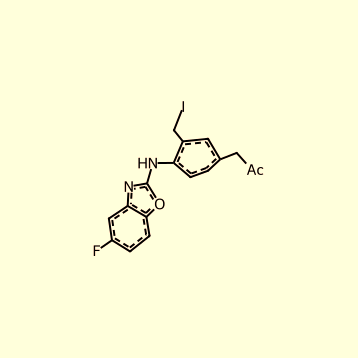 CC(=O)Cc1ccc(Nc2nc3cc(F)ccc3o2)c(CI)c1